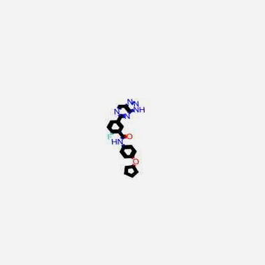 O=C(Nc1ccc(OC2CCCC2)cc1)c1cc(-c2ncc3nn[nH]c3n2)ccc1F